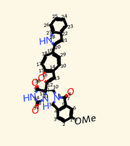 COc1ccc2c(c1)C(=O)N(C[C@@]1(c3cc4c(o3)C=CC(c3cc5ccccc5[nH]3)=C=C4)NC(=O)NC1=O)C2